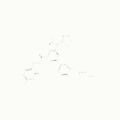 Cc1cc(C)c(CNC(=O)c2cc(-c3cccc(OCCCO)c3)cc3c2cnn3C2CCCC2)c(=O)[nH]1